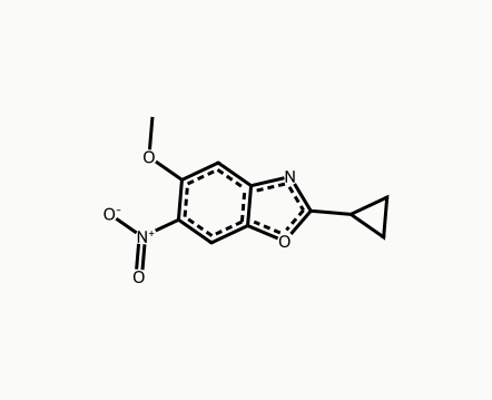 COc1cc2nc(C3CC3)oc2cc1[N+](=O)[O-]